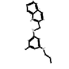 CCCOc1cc(C)cc(OCc2ccc3ccccc3n2)c1